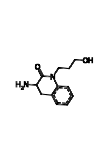 NC1Cc2ccccc2N(CCCO)C1=O